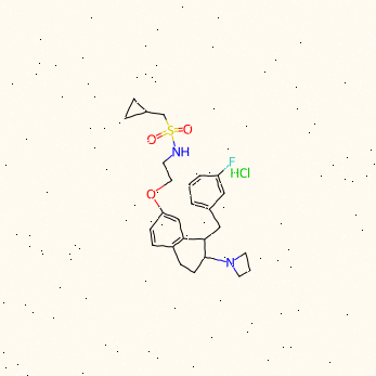 Cl.O=S(=O)(CC1CC1)NCCOc1ccc2c(c1)C(Cc1cccc(F)c1)C(N1CCC1)CC2